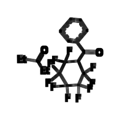 CCC(=O)CC.O=C(c1ccccc1)C1C(F)(F)C(F)(F)C(F)(F)C(F)(F)C1(F)F